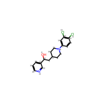 OC(CC1CCN(c2ccc(Cl)c(Cl)c2)CC1)c1cccnc1